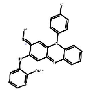 COc1ncccc1Nc1cc2nc3ccccc3n(-c3ccc(Cl)cc3)c-2c/c1=N\C(C)C